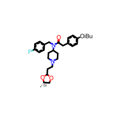 CC(C)COc1ccc(CC(=O)N(Cc2ccc(F)cc2)C2CCN(CCC3OC[C@H](C)O3)CC2)cc1